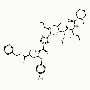 CCCO[C@H](C[C@H](C(C)C)N(CCC)C(=O)[C@@H](NC(=O)[C@H]1CCCCN1C)[C@@H](C)CC)c1nc(C(=O)NC(Cc2ccc(O)cc2)C[C@H](C)C(=O)OCc2ccccc2)cs1